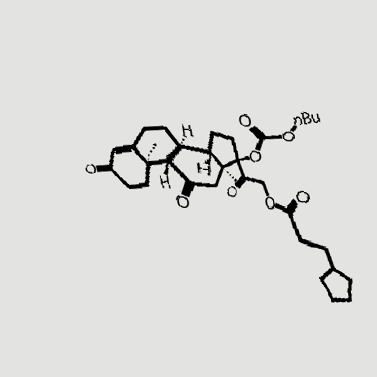 CCCCOC(=O)O[C@]1(C(=O)COC(=O)CCC2CCCC2)CC[C@H]2[C@@H]3CCC4=CC(=O)CC[C@]4(C)[C@H]3C(=O)C[C@@]21C